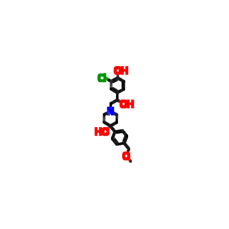 COCc1ccc(C2(O)CCN(CC(O)c3ccc(O)c(Cl)c3)CC2)cc1